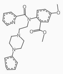 COC(=O)c1cc(OC)ccc1N(CCN1CCN(c2ccccc2)CC1)C(=O)c1ccccn1